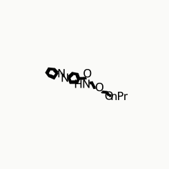 CCCOCCOCCNC(=O)c1ccc(/N=N/c2ccccc2)cc1